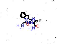 CCCc1nc(C2Cc3ccccc3N2C(=O)CN)[nH]c1C(N)=O